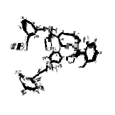 Cc1cccc(F)c1C(=O)N1CCC[C@H](C(=O)Nc2cccc(C(C)(C)C)c2)[C@@H]1C1C=CC(NCc2nccn2C)=CC1